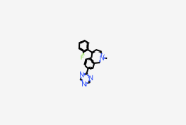 CN1CCC(c2ccccc2F)c2ccc(-c3ncncn3)cc2C1